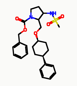 CS(=O)(=O)NC1CCN(C(=O)OCc2ccccc2)C1CO[C@H]1CC[C@@H](c2ccccc2)CC1